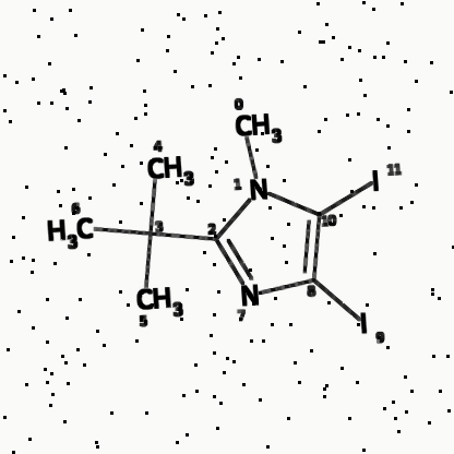 Cn1c(C(C)(C)C)nc(I)c1I